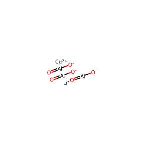 [Cu+2].[Li+].[O]=[Al][O-].[O]=[Al][O-].[O]=[Al][O-]